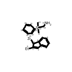 CCC1=Cc2ccccc2[CH]1[Zr].C[Si](C)(CN)c1ccccc1